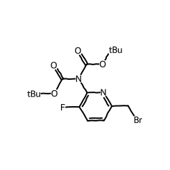 CC(C)(C)OC(=O)N(C(=O)OC(C)(C)C)c1nc(CBr)ccc1F